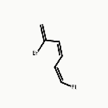 C=C(Br)/C=C\C=C/CC